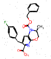 C[C@H]1COc2nc(C(=O)O)c(Cc3ccc(F)cc3)cc2N1C(=O)OCc1ccccc1